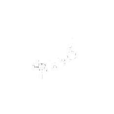 CCOc1cccc(NCC(O)Cc2n[nH]c(=O)[nH]2)c1